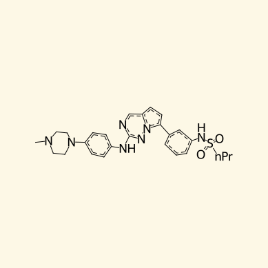 CCCS(=O)(=O)Nc1cccc(-c2ccc3cnc(Nc4ccc(N5CCN(C)CC5)cc4)nn23)c1